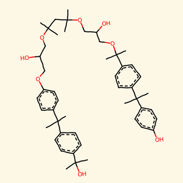 CC(C)(CC(C)(C)OCC(O)COC(C)(C)c1ccc(C(C)(C)c2ccc(O)cc2)cc1)OCC(O)COc1ccc(C(C)(C)c2ccc(C(C)(C)O)cc2)cc1